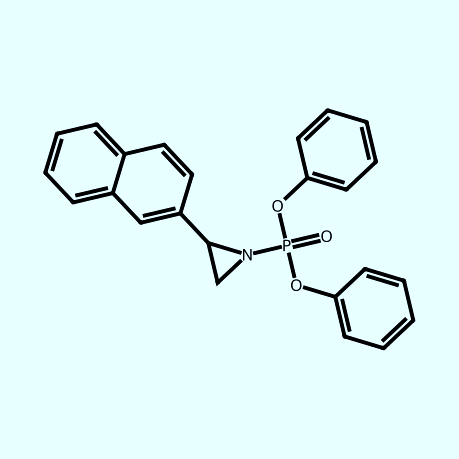 O=P(Oc1ccccc1)(Oc1ccccc1)N1CC1c1ccc2ccccc2c1